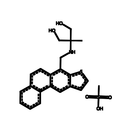 CC(CO)(CO)NCc1c2ccc3ccccc3c2cc2ccsc12.CS(=O)(=O)O